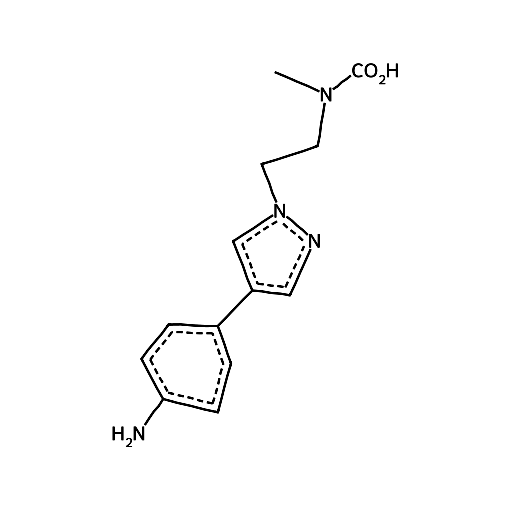 CN(CCn1cc(-c2ccc(N)cc2)cn1)C(=O)O